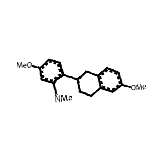 CNc1cc(OC)ccc1C1CCc2cc(OC)ccc2C1